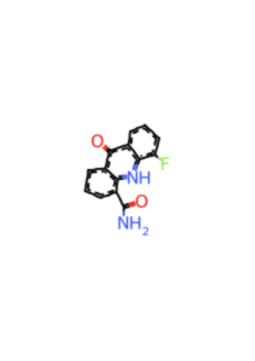 NC(=O)c1cccc2c(=O)c3cccc(F)c3[nH]c12